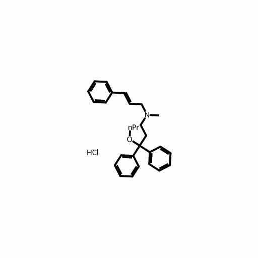 CCCOC(CCN(C)CC=Cc1ccccc1)(c1ccccc1)c1ccccc1.Cl